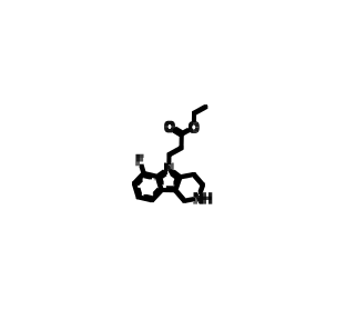 CCOC(=O)CCn1c2c(c3cccc(F)c31)CNCC2